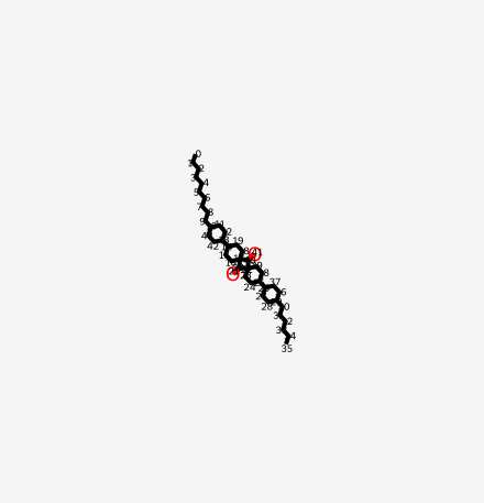 CCCCCCCCCCC1CCC(C2CCC3(CC2)C(=O)C2(CCC(C4CCC(CCCCCC)CC4)CC2)C3=O)CC1